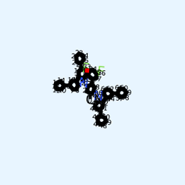 N#Cc1cc(-n2c3ccc(-c4ccccc4)cc3c3cc(-c4ccccc4)ccc32)c(-c2cc(F)cc(F)c2)cc1-n1c2ccc(-c3ccccc3)cc2c2cc(-c3ccccc3)ccc21